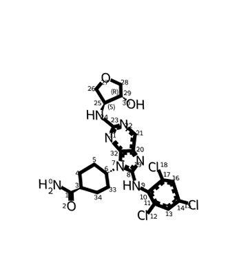 NC(=O)[C@H]1CC[C@H](n2c(Nc3c(Cl)cc(Cl)cc3Cl)nc3cnc(N[C@H]4COC[C@@H]4O)nc32)CC1